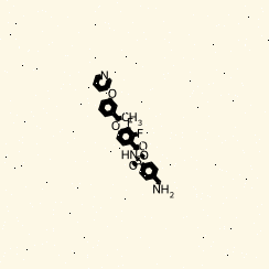 CC(Oc1ccc(C(=O)NS(=O)(=O)c2ccc(CN)cc2)c(F)c1F)c1cccc(Oc2cccnc2)c1